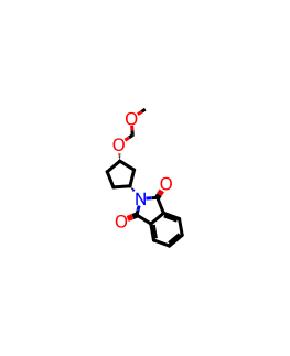 COCO[C@H]1CC[C@@H](N2C(=O)c3ccccc3C2=O)C1